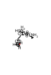 CN(CC1(N)CC1)S(=O)(=O)N1C[C@H](CCCB2O[C@H]3C[C@H]4C[C@H](C4(C)C)[C@@]3(C)O2)[C@](N)(C(=O)O)C1